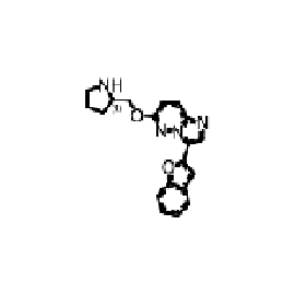 c1ccc2oc(-c3cnc4ccc(OC[C@H]5CCCN5)nn34)cc2c1